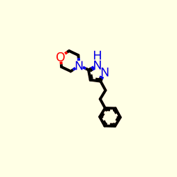 c1ccc(CCc2cc(N3CCOCC3)[nH]n2)cc1